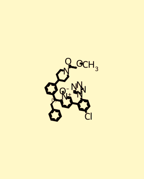 COCC(=O)N1CCC(c2cccc([C@H](Cc3ccccc3)c3ccc(-c4cc(Cl)ccc4-n4cnnn4)c[n+]3[O-])c2)CC1